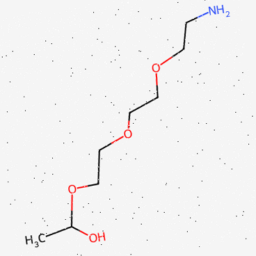 CC(O)OCCOCCOCCN